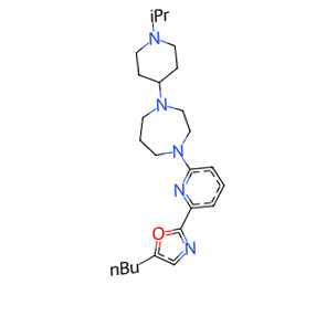 CCCCc1cnc(-c2cccc(N3CCCN(C4CCN(C(C)C)CC4)CC3)n2)o1